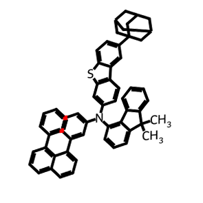 CC1(C)c2ccccc2-c2c(N(c3cccc(-c4cccc5cccc(-c6ccccc6)c45)c3)c3ccc4c(c3)sc3ccc(C56CC7CC(CC(C7)C5)C6)cc34)cccc21